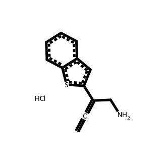 C=C=C(CN)c1cc2ccccc2s1.Cl